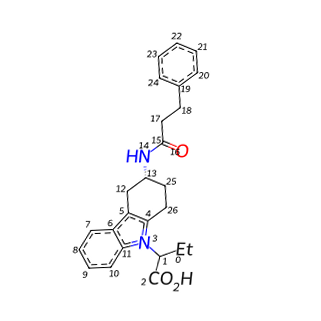 CCC(C(=O)O)n1c2c(c3ccccc31)C[C@H](NC(=O)CCc1ccccc1)CC2